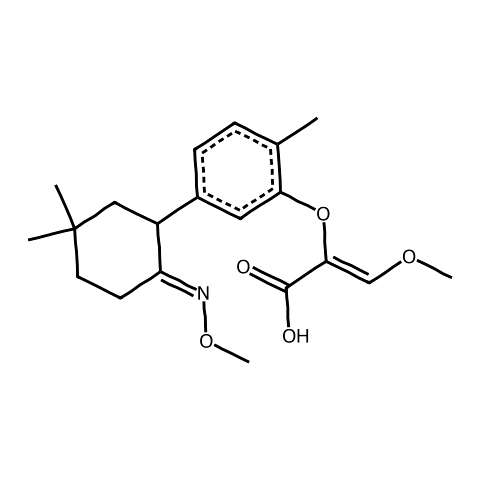 CO/C=C(\Oc1cc(C2CC(C)(C)CC/C2=N\OC)ccc1C)C(=O)O